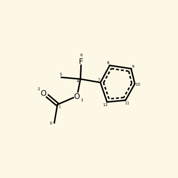 CC(=O)OC(C)(F)c1ccccc1